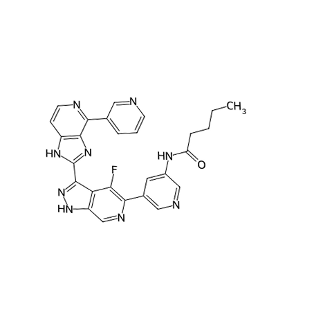 CCCCC(=O)Nc1cncc(-c2ncc3[nH]nc(-c4nc5c(-c6cccnc6)nccc5[nH]4)c3c2F)c1